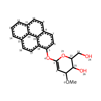 COC1C=C(Oc2ccc3ccc4cccc5ccc2c3c45)OC(CO)C1O